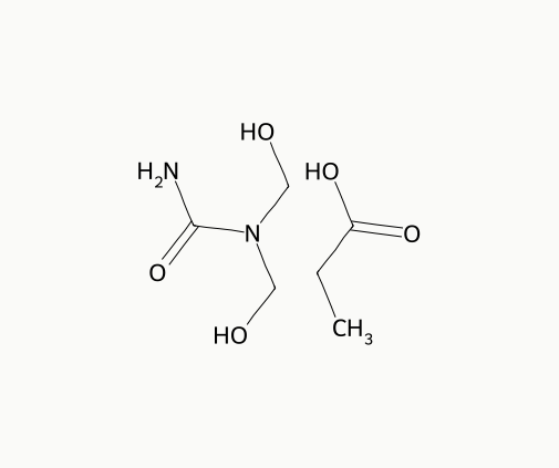 CCC(=O)O.NC(=O)N(CO)CO